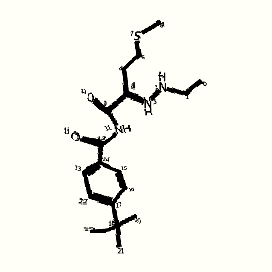 CCNNC(CCSC)C(=O)NC(=O)c1ccc(C(C)(C)C)cc1